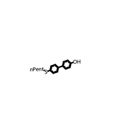 CCCCCSc1ccc(-c2ccc(O)cc2)cc1